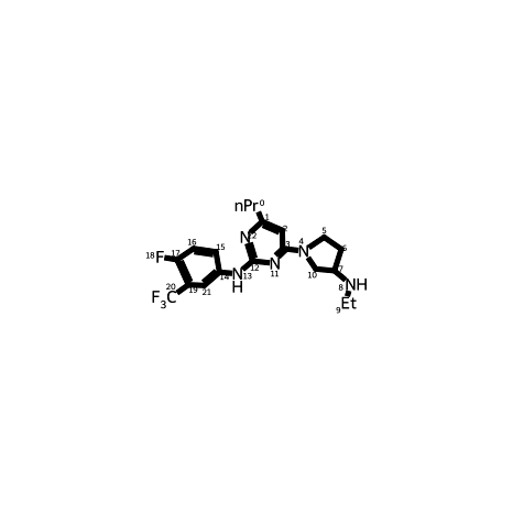 CCCc1cc(N2CCC(NCC)C2)nc(Nc2ccc(F)c(C(F)(F)F)c2)n1